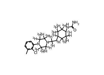 [2H]C([2H])(C[C@]1([2H])C([2H])([2H])C([2H])([2H])[C@@]([2H])(NC(N)=O)C([2H])([2H])C1([2H])[2H])N1C([2H])([2H])C([2H])([2H])N(c2cccc(C)c2Cl)C([2H])([2H])C1([2H])[2H]